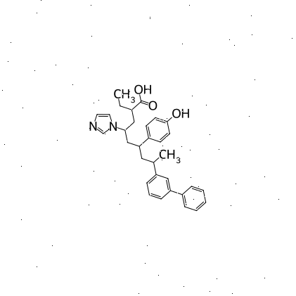 CCC(CC(CC(CC(C)c1cccc(-c2ccccc2)c1)c1ccc(O)cc1)n1ccnc1)C(=O)O